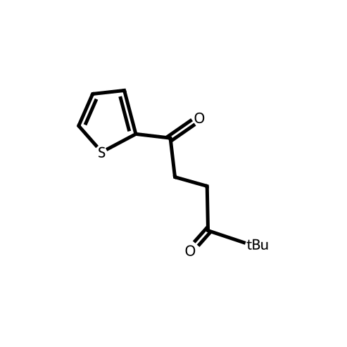 CC(C)(C)C(=O)CCC(=O)c1cccs1